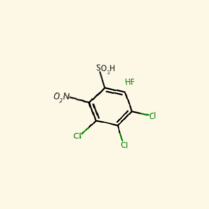 F.O=[N+]([O-])c1c(S(=O)(=O)O)cc(Cl)c(Cl)c1Cl